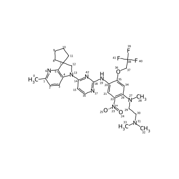 Cc1ccc2c(n1)C1(CCCC1)CN2c1ccnc(Nc2cc([N+](=O)[O-])c(N(C)CCN(C)C)cc2OCC(F)(F)F)n1